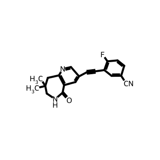 CC1(C)CNC(=O)c2cc(C#Cc3cc(C#N)ccc3F)cnc2C1